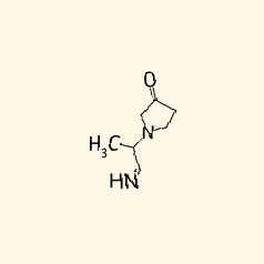 CC(C=N)N1CCC(=O)C1